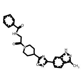 Cc1n[nH]c2cc(-c3noc(C4CCN(C(=O)CNC(=O)c5ccccc5)CC4)n3)ccc12